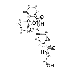 O=C(NS(=O)(=O)c1ccccc1-c1ccccc1)c1ccc(C(=O)NCCO)nc1